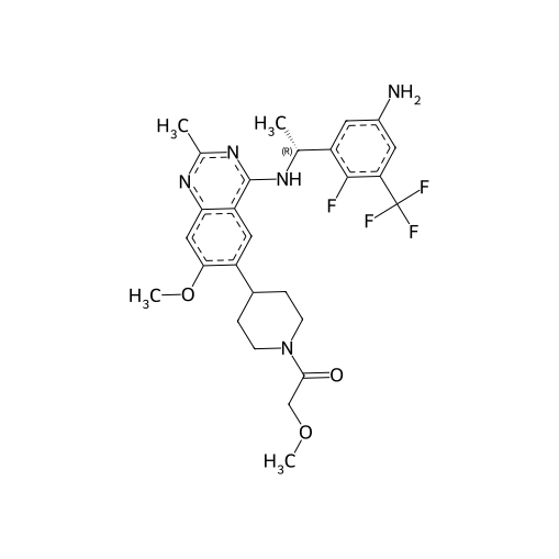 COCC(=O)N1CCC(c2cc3c(N[C@H](C)c4cc(N)cc(C(F)(F)F)c4F)nc(C)nc3cc2OC)CC1